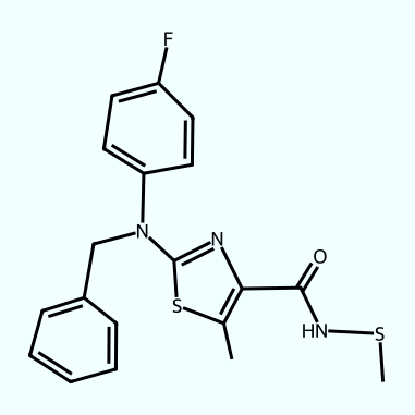 CSNC(=O)c1nc(N(Cc2ccccc2)c2ccc(F)cc2)sc1C